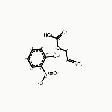 C=CCOC(=O)O.O=[N+]([O-])c1ccccc1O